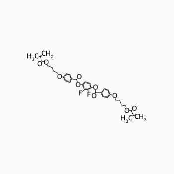 C=C(C)C(=O)OCCCCOc1ccc(C(=O)Oc2ccc(OC(=O)c3ccc(OCCCCOC(=O)C(=C)C)cc3)c(F)c2F)cc1